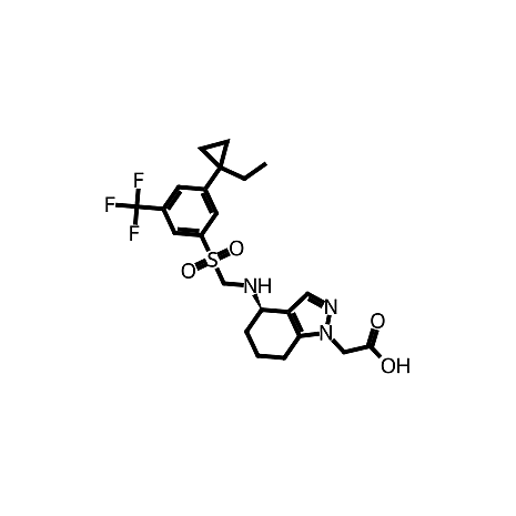 CCC1(c2cc(C(F)(F)F)cc(S(=O)(=O)CN[C@@H]3CCCc4c3cnn4CC(=O)O)c2)CC1